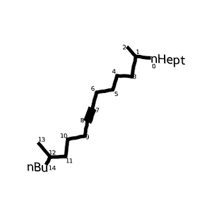 [CH2]CCCCCCC(C)CCCCC#CCCCC(C)CCC[CH2]